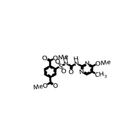 COC(=O)c1ccc(C(=O)OC)c(S(=O)(=O)NC(=O)Nc2ncc(C)c(OC)n2)c1